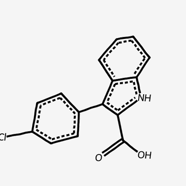 O=C(O)c1[nH]c2ccccc2c1-c1ccc(Cl)cc1